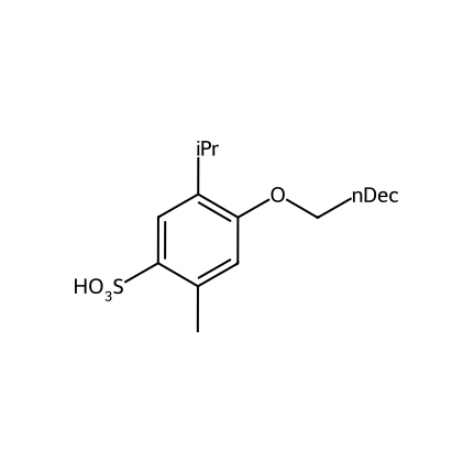 CCCCCCCCCCCOc1cc(C)c(S(=O)(=O)O)cc1C(C)C